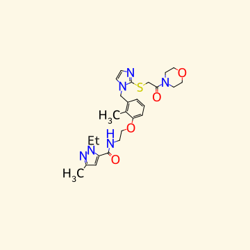 CCn1nc(C)cc1C(=O)NCCOc1cccc(Cn2ccnc2SCC(=O)N2CCOCC2)c1C